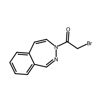 O=C(CBr)N1C=Cc2ccccc2C=N1